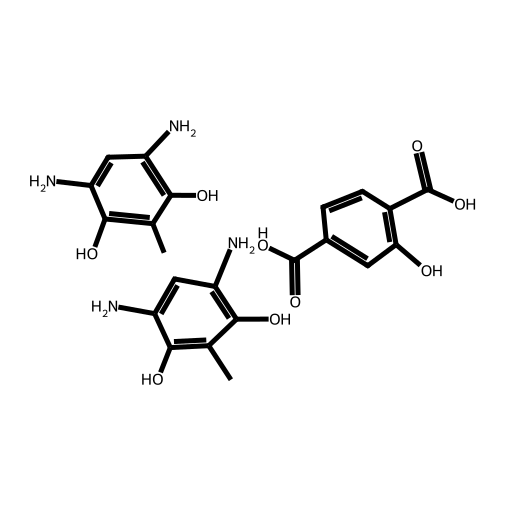 Cc1c(O)c(N)cc(N)c1O.Cc1c(O)c(N)cc(N)c1O.O=C(O)c1ccc(C(=O)O)c(O)c1